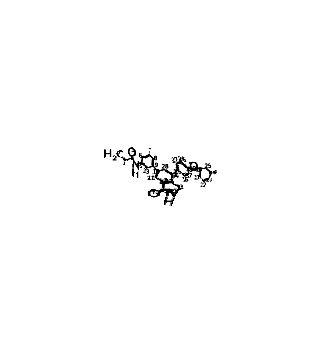 C=CC(=O)Nc1cccc(-c2cc3c(c(-c4ccc(Oc5ccccc5)cc4)c2)CNC3=O)c1